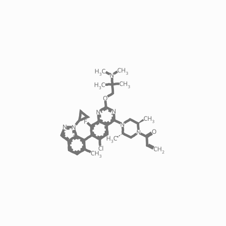 C=CC(=O)N1C[C@H](C)N(c2nc(OCC(C)(C)N(C)C)nc3c(F)c(-c4c(C)ccc5cnn(C6CC6)c45)c(Cl)cc23)C[C@H]1C